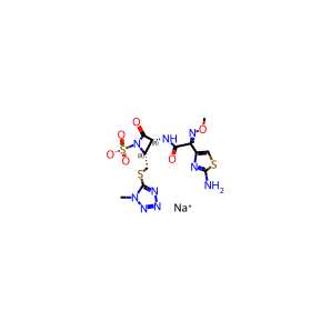 CON=C(C(=O)N[C@H]1C(=O)N(S(=O)(=O)[O-])[C@H]1CSc1nnnn1C)c1csc(N)n1.[Na+]